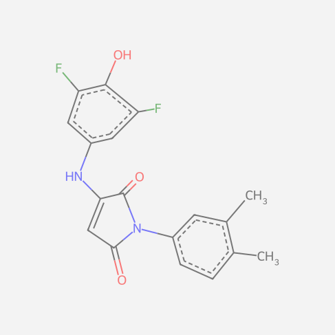 Cc1ccc(N2C(=O)C=C(Nc3cc(F)c(O)c(F)c3)C2=O)cc1C